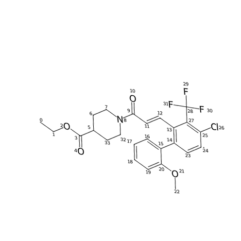 CCOC(=O)C1CCN(C(=O)/C=C/c2c(-c3ccccc3OC)c[c]c(Cl)c2C(F)(F)F)CC1